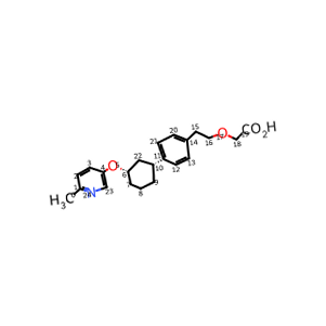 Cc1ccc(O[C@H]2CCC[C@@H](c3ccc(CCOCC(=O)O)cc3)C2)cn1